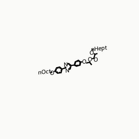 CCCCCCCCOc1ccc(-c2ncc(-c3ccc(OCC(C)OC(=O)C(C)OCCCCCCC)cc3)cn2)cc1